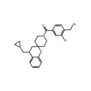 CCc1cc(C(=O)N2CCC3(CC2)CC(CC2CC2)c2ccccc2O3)ccc1CC(C)C